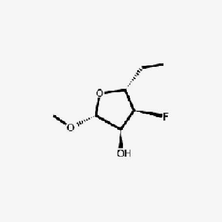 CC[C@H]1O[C@@H](OC)[C@H](O)[C@@H]1F